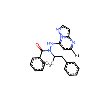 CCc1cc(NN(C(=O)c2ccccc2)C(Cc2ccccc2)C(=O)O)n2nccc2n1